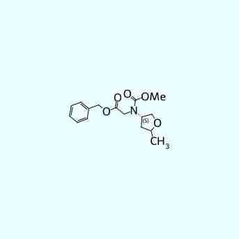 COC(=O)N(CC(=O)OCc1ccccc1)[C@@H]1COC(C)C1